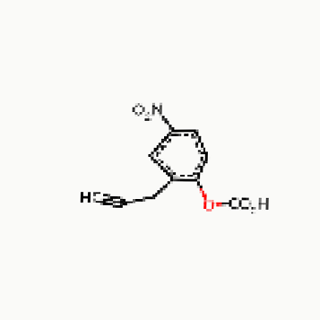 C#CCc1cc([N+](=O)[O-])ccc1OC(=O)O